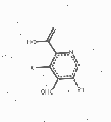 C=C(O)c1ncc(Cl)c(C=O)c1Cl